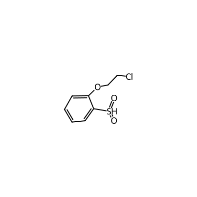 O=[SH](=O)c1ccccc1OCCCl